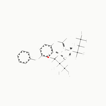 CC(Oc1ccc(Sc2ccccc2)cc1)=[N+](S(=O)(=O)C(F)(F)C(F)(F)C(F)(F)F)S(=O)(=O)C(F)(F)C(F)(F)C(F)(F)F